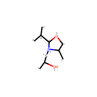 CC(O)CN1C(C)COC1C(C)C